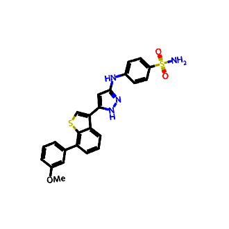 COc1cccc(-c2cccc3c(-c4cc(Nc5ccc(S(N)(=O)=O)cc5)n[nH]4)csc23)c1